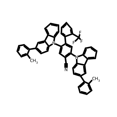 Cc1ccccc1-c1ccc2c(c1)c1ccccc1n2-c1cc(-c2ccccc2C(F)(F)F)c(-n2c3ccccc3c3cc(-c4ccccc4C)ccc32)cc1C#N